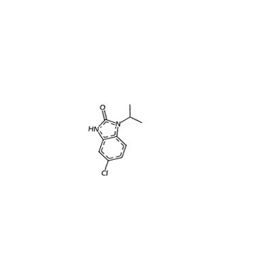 CC(C)n1c(=O)[nH]c2cc(Cl)ccc21